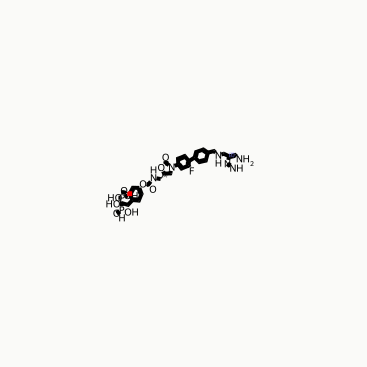 N=N/C(=C\N)CNCc1ccc(-c2ccc(N3C[C@H](CNC(=O)Oc4ccc(CC(O)([PH](=O)O)P(=O)(O)O)cc4)OC3=O)cc2F)cc1